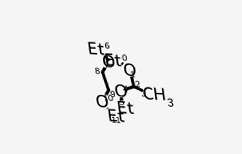 CCOC(C)OCC.CCOCCOCC